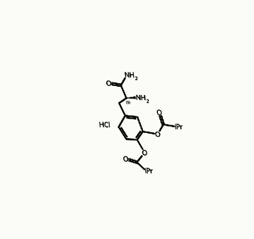 CC(C)C(=O)Oc1ccc(C[C@H](N)C(N)=O)cc1OC(=O)C(C)C.Cl